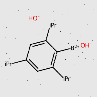 [B+2]c1c(C(C)C)cc(C(C)C)cc1C(C)C.[OH-].[OH-]